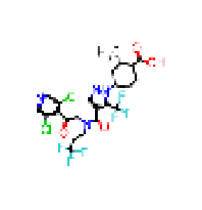 C[C@H]1C[C@H](n2ncc(C(=O)N(CCC(F)(F)F)CC(=O)c3c(Cl)cncc3Cl)c2C(F)(F)F)CCC1C(=O)O